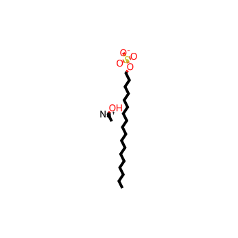 CCCCCCCCCCCCCCCCCCOS(=O)(=O)[O-].CCO.[Na+]